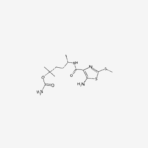 CSc1nc(C(=O)NC(C)CCC(C)(C)OC(N)=O)c(N)s1